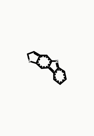 C1=c2cc3c(cc2SC1)=c1ccccc1=N3